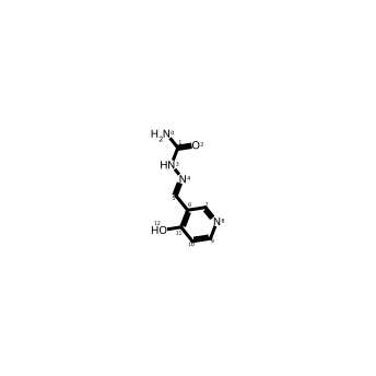 NC(=O)NN=Cc1cnccc1O